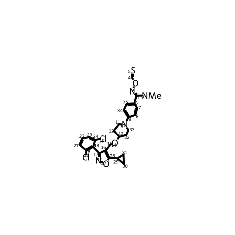 CN/C(=N\OC=S)c1ccc(N2CCC(OCc3c(-c4c(Cl)cccc4Cl)noc3C3CC3)CC2)cc1